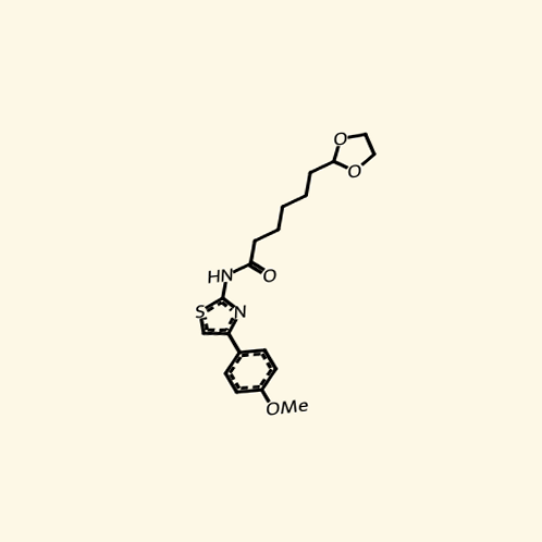 COc1ccc(-c2csc(NC(=O)CCCCCC3OCCO3)n2)cc1